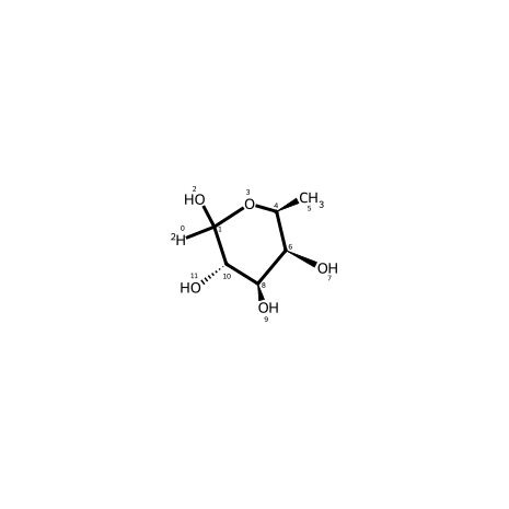 [2H]C1(O)O[C@@H](C)[C@@H](O)[C@@H](O)[C@@H]1O